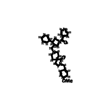 COc1ccc(CN2CCC3(CCN(CC4CN(C(=O)c5ccncc5)CC4c4ccccc4)CC3)C2=O)cc1